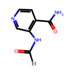 CCC(=O)Nc1cnccc1C(N)=O